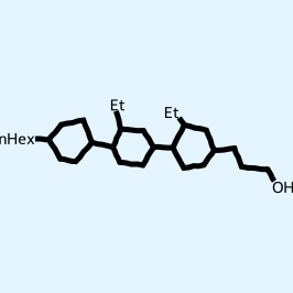 CCCCCCC1CCC(C2CCC(C3CCC(CCCO)CC3CC)CC2CC)CC1